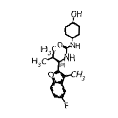 Cc1c([C@H](NC(=O)N[C@H]2CC[C@H](O)CC2)C(C)C)oc2ccc(F)cc12